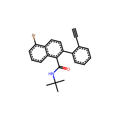 C#Cc1ccccc1-c1ccc2c(Br)cccc2c1C(=O)NC(C)(C)C